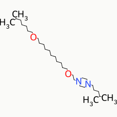 CC(C)CCCCCOCCCCCCCCCCCOCCN1CCN(CCCC(C)C)CC1